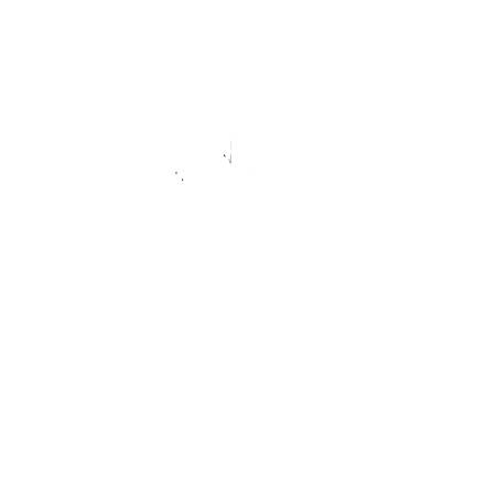 C(#Cc1ccnc2[nH]ccc12)c1ccccc1-c1ccccc1